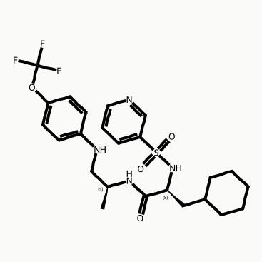 C[C@@H](CNc1ccc(OC(F)(F)F)cc1)NC(=O)[C@H](CC1CCCCC1)NS(=O)(=O)c1cccnc1